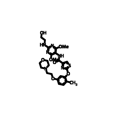 COc1nc(NCCO)nc(OC)c1NC(=O)c1csc(Oc2cc(OCCN3CCOCC3)ccc2C)n1